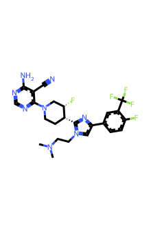 CN(C)CCn1cc(-c2ccc(F)c(C(F)(F)F)c2)nc1[C@@H]1CCN(c2ncnc(N)c2C#N)C[C@@H]1F